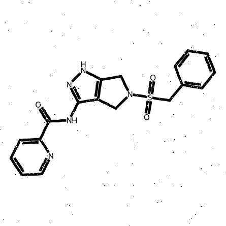 O=C(Nc1n[nH]c2c1CN(S(=O)(=O)Cc1ccccc1)C2)c1ccccn1